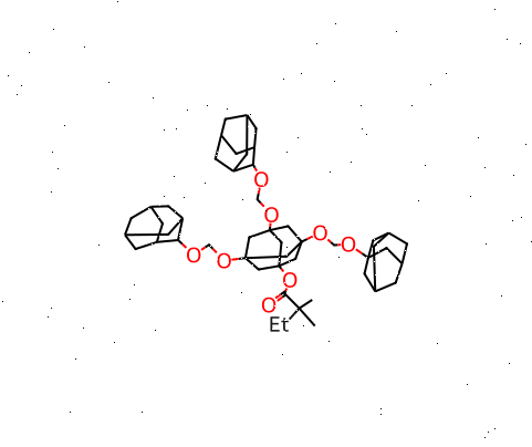 CCC(C)(C)C(=O)OC12CC3(OCOC4C5CC6CC(C5)CC4C6)CC(OCOC4C5CC6CC(C5)CC4C6)(CC(OCOC45CC6CC(CC(C6)C4)C5)(C3)C1)C2